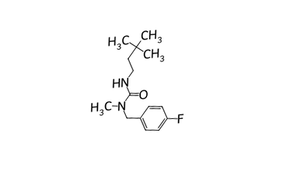 CN(Cc1ccc(F)cc1)C(=O)NCCC(C)(C)C